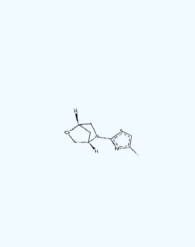 Cc1csc(N2C[C@@H]3C[C@H]2CO3)n1